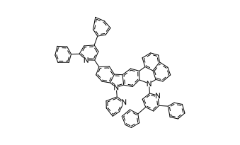 c1ccc(-c2cc(-c3ccccc3)nc(-c3ccc4c(c3)c3cc5c(cc3n4-c3ccccn3)N(c3cc(-c4ccccc4)cc(-c4ccccc4)n3)c3cccc4cccc-5c34)c2)cc1